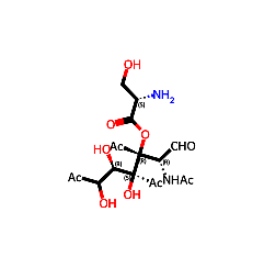 CC(=O)N[C@@H](C=O)[C@](OC(=O)[C@@H](N)CO)(C(C)=O)[C@](O)(C(C)=O)[C@H](O)C(O)C(C)=O